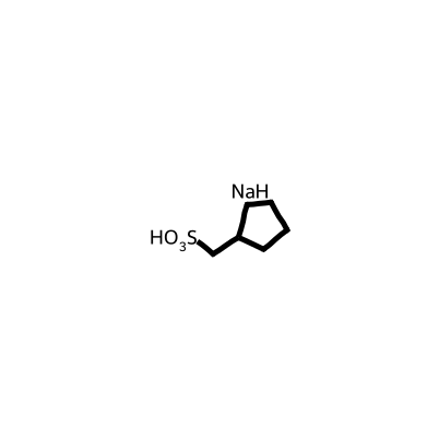 O=S(=O)(O)CC1CCCC1.[NaH]